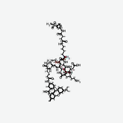 C=c1ccc2c(c1)Oc1cc(N(C)C)ccc1C=2c1ccc(NC(=O)CSC[C@H](NC(=O)[C@H](CCCCN)NC(=O)[C@H](CC(=O)O)NC(=O)[C@H](CCCCN)NC(=O)[C@H](CC(=O)O)NC(=O)[C@H](CCCCN)NC(=O)CCCCCNC(=O)CCC(=O)Nc2nnc(S(N)(=O)=O)s2)C(=O)O)cc1C(=O)O